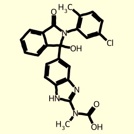 Cc1ccc(Cl)cc1N1C(=O)c2ccccc2C1(O)c1ccc2[nH]c(N(C)C(=O)O)nc2c1